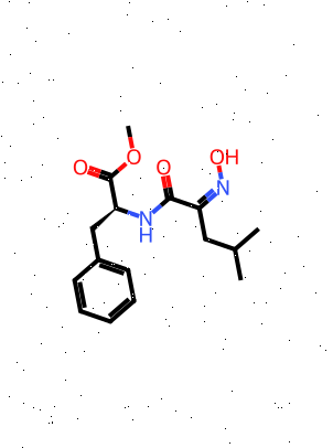 COC(=O)[C@H](Cc1ccccc1)NC(=O)/C(CC(C)C)=N\O